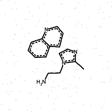 Cc1nccn1CCN.c1ccc2ncccc2c1